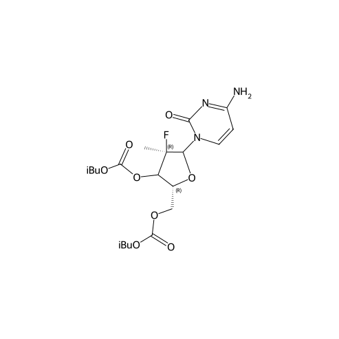 CC(C)COC(=O)OC[C@H]1OC(n2ccc(N)nc2=O)[C@](C)(F)C1OC(=O)OCC(C)C